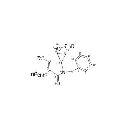 CCC=C(CCCCC)C(=O)N(Cc1ccccc1)C1CC1.O=CO